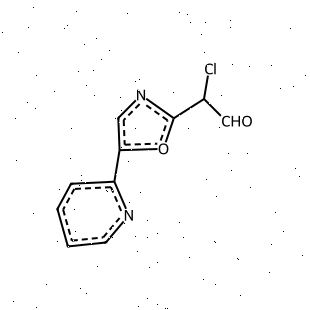 O=CC(Cl)c1ncc(-c2ccccn2)o1